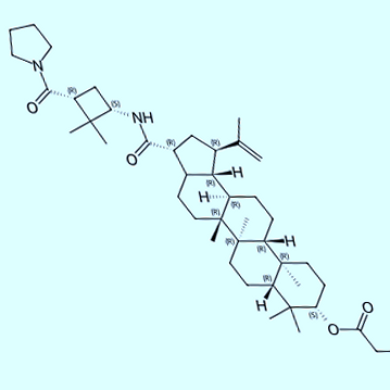 C=C(C)[C@@H]1C[C@@H](C(=O)N[C@H]2C[C@@H](C(=O)N3CCCC3)C2(C)C)C2CC[C@]3(C)[C@H](CC[C@@H]4[C@@]5(C)CC[C@H](OC(=O)CC(C)(C)C(=O)O)C(C)(C)[C@@H]5CC[C@]43C)[C@H]21